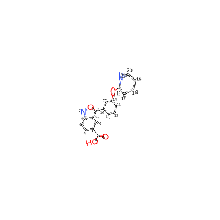 O=C(O)c1ccc2noc(-c3cccc(Oc4ccccn4)c3)c2c1